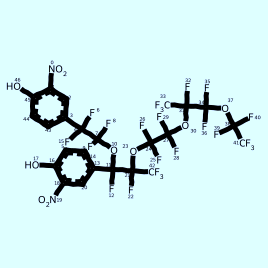 O=[N+]([O-])c1cc(C(F)(F)C(F)(F)OC(F)(c2ccc(O)c([N+](=O)[O-])c2)C(F)(OC(F)(F)C(F)(F)OC(F)(C(F)(F)F)C(F)(F)OC(F)(F)C(F)(F)F)C(F)(F)F)ccc1O